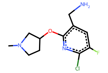 CN1CCC(Oc2nc(Cl)c(F)cc2CN)C1